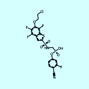 N#Cc1ccc(OP(=O)(O)CNS(=O)(=O)c2cc3c(F)c(F)c(OCCCl)c(F)c3s2)cc1F